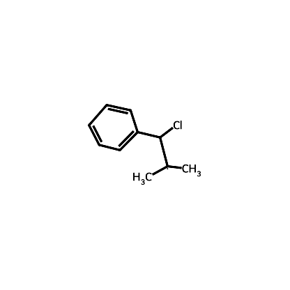 C[C](C)C(Cl)c1ccccc1